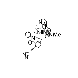 CNS(=O)(=O)Nc1nn2cccnc2c1C(=O)N[C@H](C)c1c2c3c(ccc(C#Cc4cnn(C)c4)c3c(=O)n1-c1ccccc1)C2